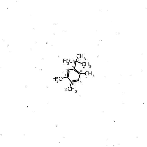 Cc1[c]c(C(C)(C)C)c(C)cc1C